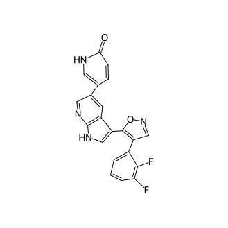 O=c1ccc(-c2cnc3[nH]cc(-c4oncc4-c4cccc(F)c4F)c3c2)c[nH]1